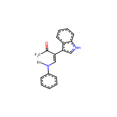 CCN(/C=C(\C(=O)C(F)(F)F)c1c[nH]c2ccccc12)c1ccccc1